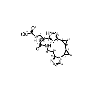 CC(C)(C)C(=O)NCCc1nc(C2CC2C2CC2n2cnnc2CCNC(=O)C(C)(C)C)n[nH]1